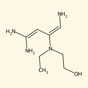 CCN(CCO)/C(C=C(N)N)=C/N